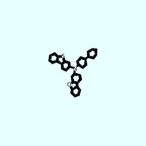 c1ccc(-c2ccc(N(c3ccc4c(c3)oc3ccccc34)c3ccc4c(c3)sc3ccccc34)cc2)cc1